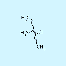 CCCCC([SiH3])=C(Cl)CCCC